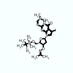 CC(C)=NOC1C[C@H](n2cc(I)c3c(=O)[nH]c(/N=C\N(C)C)nc32)O[C@@H]1CO[Si](C)(C)C(C)(C)C